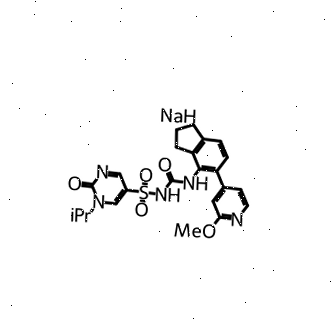 COc1cc(-c2ccc3c(c2NC(=O)NS(=O)(=O)c2cnc(=O)n(C(C)C)c2)CCC3)ccn1.[NaH]